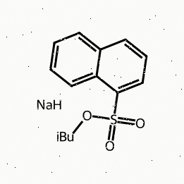 CCC(C)OS(=O)(=O)c1cccc2ccccc12.[NaH]